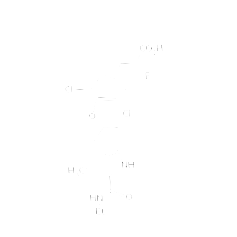 CCNC(=O)c1[nH]c2ccc(Oc3c(Cl)cc(CC(F)C(=O)O)cc3Cl)cc2c1C